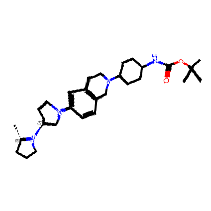 C[C@H]1CCCN1[C@H]1CCN(c2ccc3c(c2)CCN(C2CCC(NC(=O)OC(C)(C)C)CC2)C3)C1